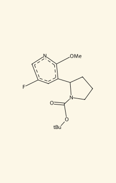 COc1ncc(F)cc1C1CCCN1C(=O)OC(C)(C)C